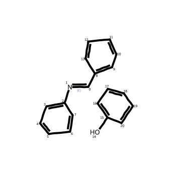 C(=N\c1ccccc1)/c1ccccc1.Oc1ccccc1